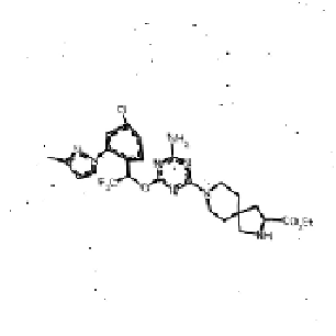 CCOC(=O)C1CC2(CCN(c3nc(N)nc(O[C@H](c4ccc(Cl)cc4-n4ccc(C)n4)C(F)(F)F)n3)CC2)CN1